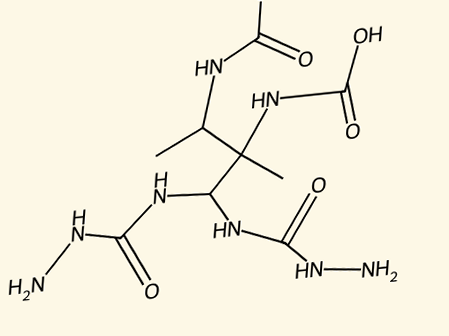 CC(NC(=O)O)C(C)(NC(=O)O)C(NC(=O)NN)NC(=O)NN